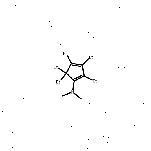 CCC1=C(CC)C(CC)(CC)C(N(C)C)=C1CC